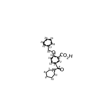 O=C(O)c1cc(C(=O)N2CCCCC2)ccc1OCc1ccccc1